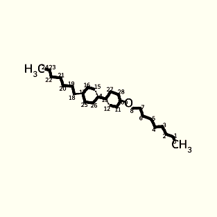 CCCCCCCCCO[C@H]1CC[C@H]([C@H]2CC[C@H](CCCCCCC)CC2)CC1